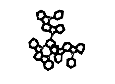 C1=Cc2c(c3c(ccc4c5ccccc5n(-c5ccccc5)c43)n2-c2cc(-n3c4ccccc4c4c3ccc3c5ccccc5n(-c5ccccc5)c34)cc(-n3c4ccccc4c4ccc5c6ccccc6n(-c6ccccc6)c5c43)c2)CC1